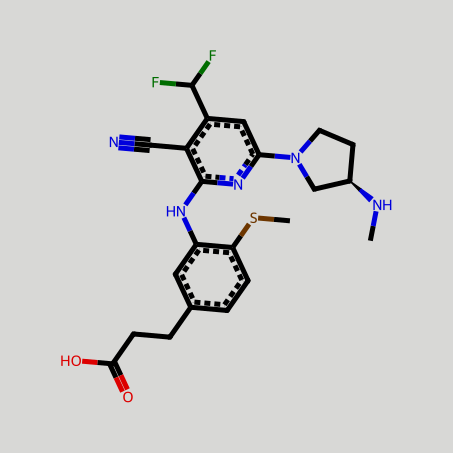 CN[C@@H]1CCN(c2cc(C(F)F)c(C#N)c(Nc3cc(CCC(=O)O)ccc3SC)n2)C1